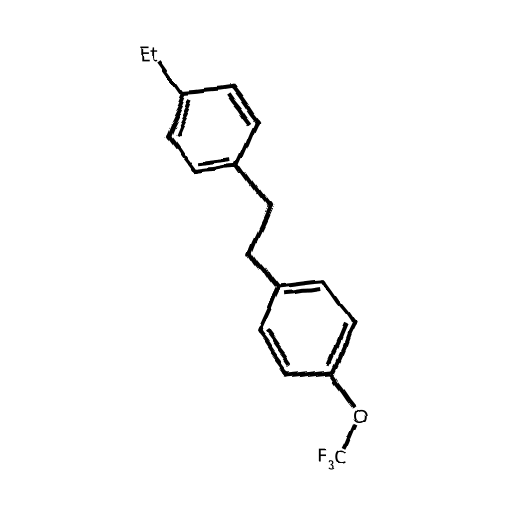 CCc1ccc(CCc2ccc(OC(F)(F)F)cc2)cc1